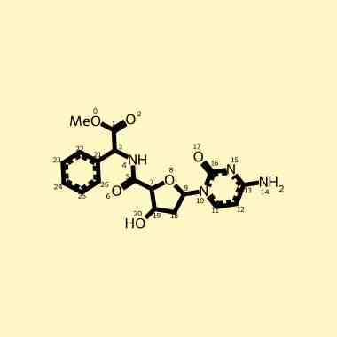 COC(=O)C(NC(=O)C1OC(n2ccc(N)nc2=O)CC1O)c1ccccc1